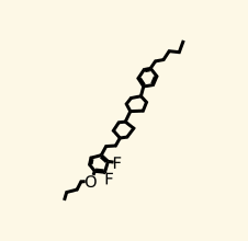 CCCCCc1ccc(C2CCC(C3CCC(CCc4ccc(OCCCC)c(F)c4F)CC3)CC2)cc1